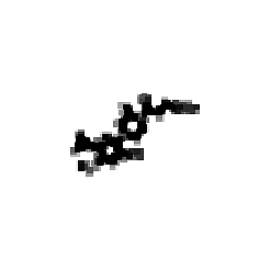 COCCC(=O)N1CCN(c2nc(C3CC3)c(N)cc2C#N)CC1C